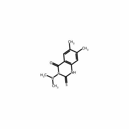 Cc1cc2[nH]c(=S)n(N(C)C)c(=O)c2cc1C